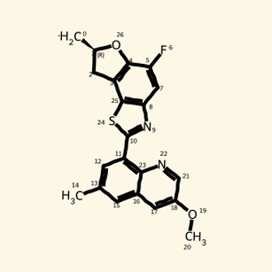 [CH2][C@@H]1Cc2c(c(F)cc3nc(-c4cc(C)cc5cc(OC)cnc45)sc23)O1